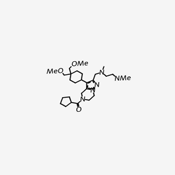 CNCCN(C)Cc1nn2c(c1C1CCC(COC)(COC)CC1)CN(C(=O)C1CCCC1)CC2